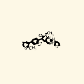 CCn1c(=O)c(-c2ccc(-c3cccnc3C)cc2Cl)cc2cnc(NC3CCOC3)nc21